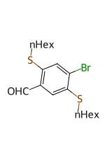 CCCCCCSc1cc(C=O)c(SCCCCCC)cc1Br